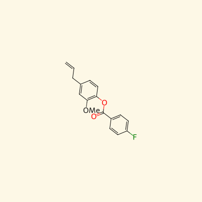 C=CCc1ccc(OC(=O)c2ccc(F)cc2)c(OC)c1